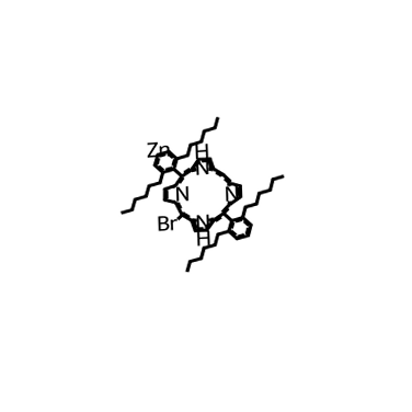 CCCCCCc1cccc(CCCCCC)c1-c1c2nc(c(Br)c3ccc([nH]3)c(-c3c(CCCCCC)cccc3CCCCCC)c3nc(cc4ccc1[nH]4)C=C3)C=C2.[Zn]